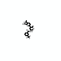 Cc1ncc(NC(=O)c2cccc(C(F)(F)F)c2)cc1-c1ccc2c(C)n[nH]c2n1